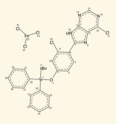 CC(C)(C)[Si](Oc1ccc(-c2nc3c(Cl)ncnc3[nH]2)c(Cl)c1)(c1ccccc1)c1ccccc1.[Cl][Fe]([Cl])[Cl]